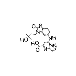 Cn1c(=O)n(CCC(C)(C)O)c2cc(Nc3cc(C(=O)O)nc4ccnn34)ccc21